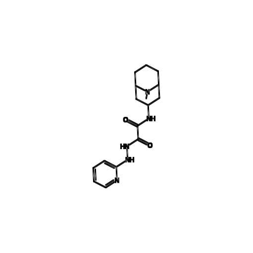 CN1C2CCCC1CC(NC(=O)C(=O)NNc1ccccn1)C2